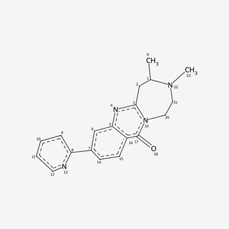 CC1Cc2nc3cc(-c4ccccn4)ccc3c(=O)n2CCN1C